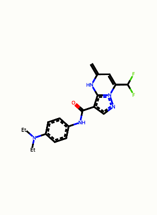 C=C1C=C(C(F)F)n2ncc(C(=O)Nc3ccc(N(CC)CC)cc3)c2N1